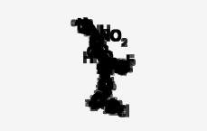 CN1CCC(Nc2ccc(S(=O)(=O)NC(=O)c3ccc(N4CCN(CC5=C(c6ccc(Cl)cc6)CC(C)(C)CC5)CC4)cc3Oc3cccc(F)c3)cc2[N+](=O)[O-])CC1